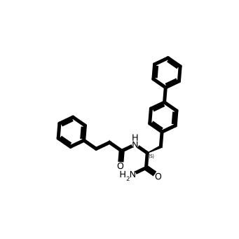 NC(=O)[C@H](Cc1ccc(-c2ccccc2)cc1)NC(=O)[CH]Cc1ccccc1